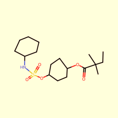 CCC(C)(C)C(=O)OC1CCC(OS(=O)(=O)NC2CCCCC2)CC1